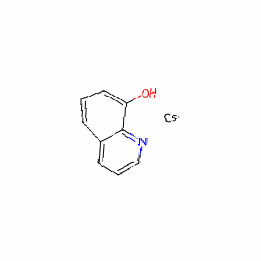 Oc1cccc2cccnc12.[Cs]